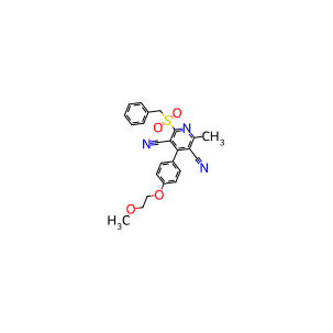 COCCOc1ccc(-c2c(C#N)c(C)nc(S(=O)(=O)Cc3ccccc3)c2C#N)cc1